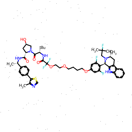 Cc1ncsc1-c1ccc([C@H](C)NC(=O)[C@@H]2C[C@@H](O)CN2C(=O)[C@@H](NC(=O)C(F)(F)OCCOCCCCOc2cc(F)c([C@@H]3c4[nH]c5ccccc5c4C[C@@H](C)N3CC(C)(C)F)c(F)c2)C(C)(C)C)cc1